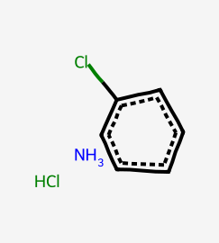 Cl.Clc1ccccc1.N